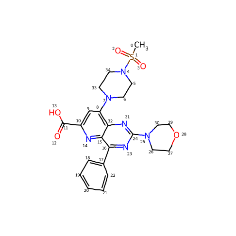 CS(=O)(=O)N1CCN(c2cc(C(=O)O)nc3c(-c4ccccc4)nc(N4CCOCC4)nc23)CC1